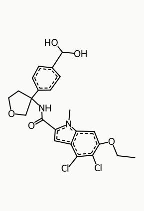 CCOc1cc2c(cc(C(=O)NC3(c4ccc(C(O)O)cc4)CCOC3)n2C)c(Cl)c1Cl